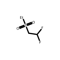 CCS(=O)(=O)CC(F)F